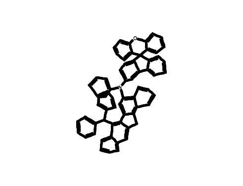 c1ccc(C(c2ccccc2)c2c3c(cc4ccccc24)Cc2c-3cc(N(c3ccccc3)c3ccc4c(c3)-c3ccccc3C43c4ccccc4Oc4ccccc43)c3ccccc23)cc1